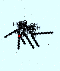 CCCCCCCCCCCCCC(=O)O[C@H](CCCCCCCCCCC)CC(=O)NCC(CO)(COC1OC(CO)[C@@H](OP(=O)(O)O)[C@H](OC(=O)C[C@@H](CCCCCCCCCCC)OC(=O)CCCCCCCCCCCCC)[C@@H]1NC(=O)C[C@@H](CCCCCCCCCCC)OC(=O)CCCCCCCCCCCCC)COP(=O)(O)O